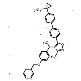 CCOC(=O)C1(c2ccc(-c3ccc(-c4onc(C)c4C(O)c4ccc(OCc5ccccc5)cc4)cc3)cc2)CC1